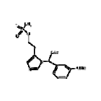 COc1cccc(C(OC(C)=O)n2cncc2CCOS(C)(=O)=O)c1